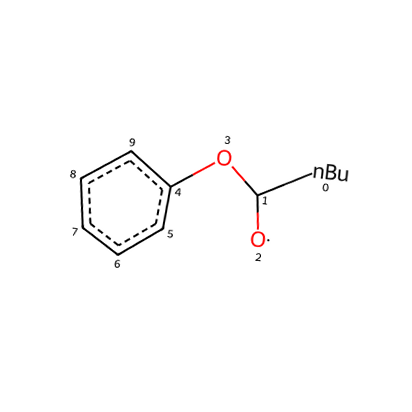 CCCCC([O])Oc1ccccc1